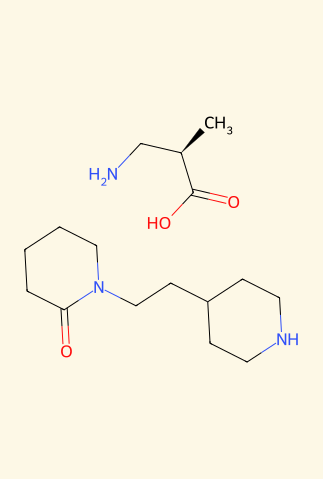 C[C@H](CN)C(=O)O.O=C1CCCCN1CCC1CCNCC1